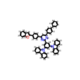 c1ccc(-c2ccc(-c3cc(-c4ccc(-c5cc6ccccc6o5)cc4)nc(-c4cc(-n5c6ccccc6c6ccccc65)cc(-n5c6ccccc6c6ccccc65)c4)n3)cc2)cc1